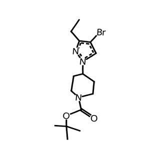 CCc1nn(C2CCN(C(=O)OC(C)(C)C)CC2)cc1Br